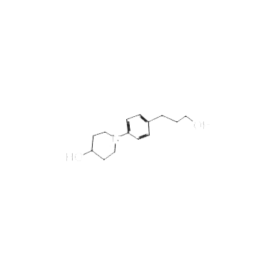 OCCCc1ccc(N2CCC(O)CC2)cc1